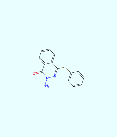 Nn1nc(Sc2ccccc2)c2ccccc2c1=O